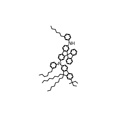 CCCCCCCCC1(CCCCCCCC)c2cc(N(c3cccc(CCCCCC)c3)c3ccc4c(c3)C3(c5ccccc5-c5ccccc53)c3cc(Nc5cccc(CCCCCC)c5)ccc3-4)ccc2-c2ccc(C(C)(CC)CC)cc21